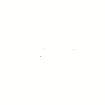 C=C1CCC(N2Cc3cc(C4CCN(Cc5ccc(C#N)cc5)CC4)ccc3C2=C)C(=C)N1